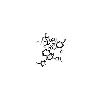 Cc1cc(-n2cc(F)cn2)c2cccc(OCc3c(Cl)cc(F)cc3[C@H](C)NC(=O)C(C)(C)C(F)(F)F)c2n1